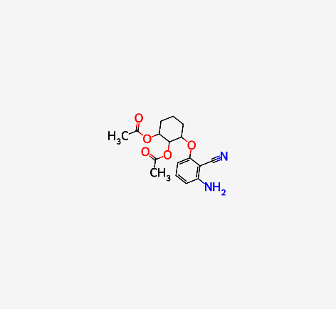 CC(=O)OC1CCCC(Oc2cccc(N)c2C#N)C1OC(C)=O